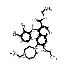 CCOC(=O)c1cnc2cc(OCC)c(N3CCCN(CC)CC3)cc2c1Nc1cccc(Cl)c1Cl